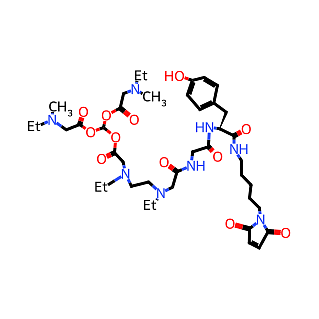 CCN(C)CC(=O)OC(OC(=O)CN(C)CC)OC(=O)CN(CC)CCN(CC)CC(=O)NCC(=O)N[C@@H](Cc1ccc(O)cc1)C(=O)NCCCCCN1C(=O)C=CC1=O